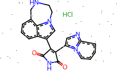 Cl.O=C1NC(=O)C(c2cnc3ccccn23)=C1c1cn2c3c(cccc13)CNCC2